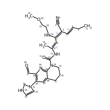 CC/C=C/C(C#N)=C(\C=C(/C)NC(=O)N1CCCc2cc(N3C=CNC3)c(C=O)nc21)NCCOC